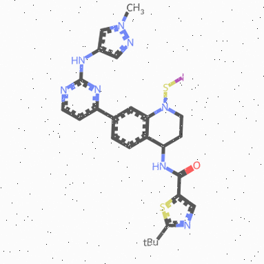 Cn1cc(Nc2nccc(-c3ccc4c(c3)N(SI)CCC4NC(=O)c3cnc(C(C)(C)C)s3)n2)cn1